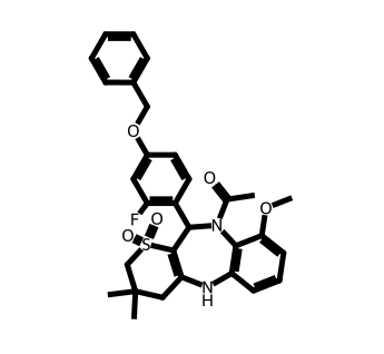 COc1cccc2c1N(C(C)=O)C(c1ccc(OCc3ccccc3)cc1F)C1=C(CC(C)(C)CS1(=O)=O)N2